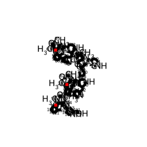 Cn1c(=O)c2c(nc(N3CCCNCC3)n2CC(=O)N2CCCC2)n(C)c1=O.Cn1c(=O)c2c(nc(N3CCNCC(Cc4ccccn4)C3)n2Cc2ccccc2Br)n(C)c1=O.Cn1c(=O)c2c(nc(N3CCNCC(Cc4ccccn4)C3)n2Cc2ccccc2I)n(C)c1=O.Cn1c(=O)c2c(nc(N3CCN[C@H](CO)C3)n2Cc2ccccc2)n(C)c1=O